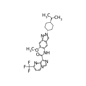 COc1cc2nn([C@H]3CC[C@H](C(C)C)CC3)cc2cc1NC(=O)c1ncn2ccc(C(F)(F)F)nc12